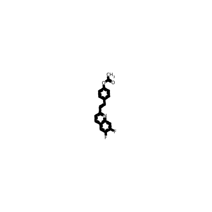 CC(=O)Oc1ccc(C=Cc2ccc3cc(F)c(F)cc3n2)cc1